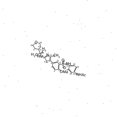 COc1ccc(-c2sc(NC(C)(C)C3CCOCC3)nc2C)cc1S(=O)(=O)Nc1ccc(NC(C)=O)cc1